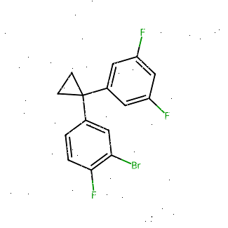 Fc1cc(F)cc(C2(c3ccc(F)c(Br)c3)CC2)c1